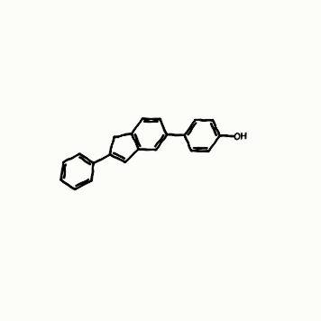 Oc1ccc(-c2ccc3c(c2)C=C(c2ccccc2)C3)cc1